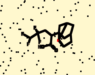 O=S(O)C(CC(F)(F)C(F)F)C12CC3CC(CC(C3)C1)C2